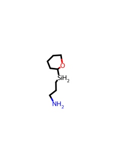 NCCC[SiH2]C1CCCCO1